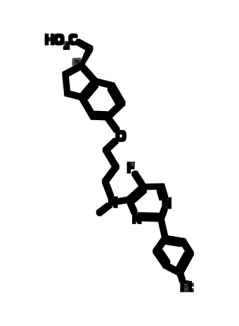 CCc1ccc(-c2ncc(F)c(N(C)CCCOc3ccc4c(c3)CC[C@H]4CC(=O)O)n2)cc1